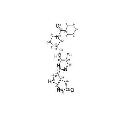 O=C(C1CCCCC1)N1CCC[C@@H](CNc2nc(-c3c[nH]c4ncc(Cl)cc34)ncc2F)C1